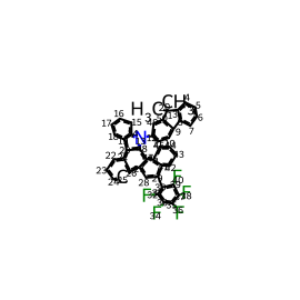 CC1(C)c2ccccc2-c2ccc(-n3c4ccccc4c4c5ccccc5c5cc(-c6c(F)c(F)c(F)c(F)c6F)c6ccccc6c5c43)cc21